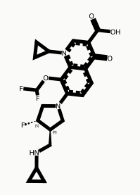 O=C(O)c1cn(C2CC2)c2c(OC(F)F)c(N3C[C@@H](CNC4CC4)[C@H](F)C3)ccc2c1=O